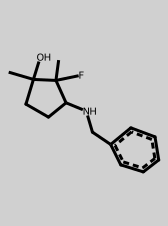 CC1(O)CCC(NCc2ccccc2)C1(C)F